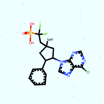 O=P(O)(O)C(F)(F)CC1([SeH])CC(c2ccccc2)C(n2cnc3c(Cl)ncnc32)C1